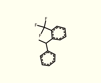 CC(c1ccccc1)c1ccccc1C(F)(F)F